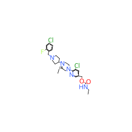 CCNC(=O)OCc1cnc(N2CCN(C3CCN(Cc4ccc(Cl)cc4F)CC3)[C@@H](CC)C2)c(Cl)c1